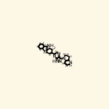 N[C@@H]1c2ccccc2C[C@@]12CC=C(c1cnc3c(N4CCCc5ncccc54)n[nH]c3n1)CC2